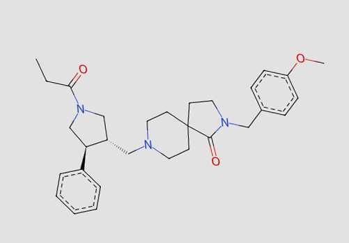 CCC(=O)N1C[C@H](CN2CCC3(CC2)CCN(Cc2ccc(OC)cc2)C3=O)[C@@H](c2ccccc2)C1